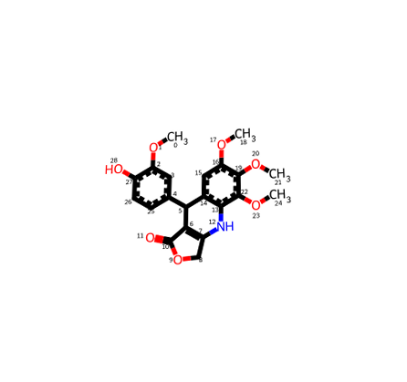 COc1cc(C2C3=C(COC3=O)Nc3c2cc(OC)c(OC)c3OC)ccc1O